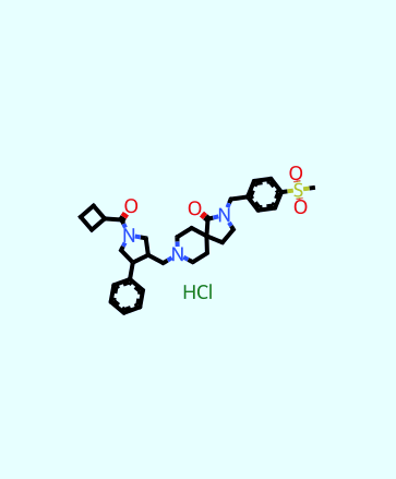 CS(=O)(=O)c1ccc(CN2CCC3(CCN(CC4CN(C(=O)C5CCC5)CC4c4ccccc4)CC3)C2=O)cc1.Cl